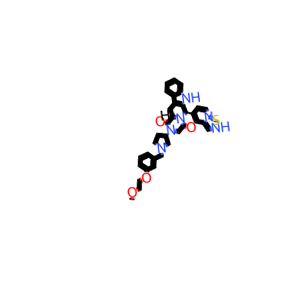 COCCOc1cccc(CN2CC[C@@H](N3CC(=O)N4[C@H](Cc5c([nH]c6ccccc56)[C@H]4C4=CC5=CNSN5C=C4)C3=O)C2)c1